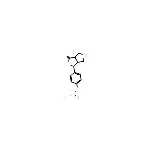 CC(C)(C)[Si](C)(C)Oc1ccc(C2OC(=O)[C@H]3CNC[C@@H]23)cc1